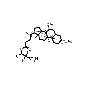 CC(=O)O[C@@H]1CC[C@@]2(C)C(C1)C[C@H](OC(C)=O)[C@H]1[C@@H]3CC[C@H]([C@H](C)CCC(=O)OC(C(F)(F)F)C(F)(F)S(=O)(=O)O)[C@@]3(C)CC[C@@H]12